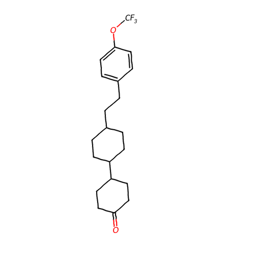 O=C1CCC(C2CCC(CCc3ccc(OC(F)(F)F)cc3)CC2)CC1